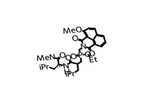 CCOP(=O)(CC(CC(C)C)C(=O)N[C@@H](CC(C)C)C(=O)NC)CN1C(=O)c2cccc3ccc(OC)c(c23)C1=O